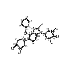 Cc1cc(-n2c(C)nc3c(Oc4ccccc4)c(-c4ccc(=O)n(C)c4)ccc32)cn(C)c1=O